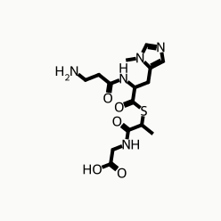 CC(SC(=O)C(Cc1cncn1C)NC(=O)CCN)C(=O)NCC(=O)O